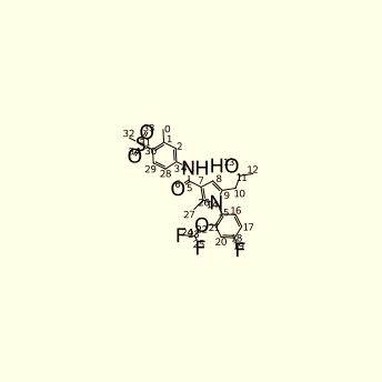 Cc1cc(NC(=O)c2cc(CC(C)O)n(-c3ccc(F)cc3OC(F)F)c2C)ccc1S(C)(=O)=O